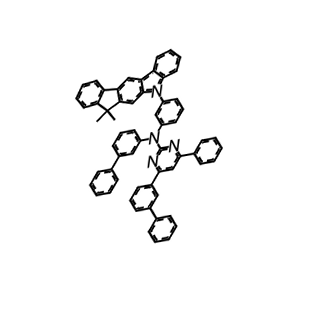 CC1(C)c2ccccc2-c2cc3c4ccccc4n(-c4cccc(N(c5cccc(-c6ccccc6)c5)c5nc(-c6ccccc6)cc(-c6cccc(-c7ccccc7)c6)n5)c4)c3cc21